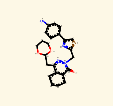 Nc1ccc(-c2csc(Cn3nc(CC4OCCCO4)c4ccccc4c3=O)n2)cc1